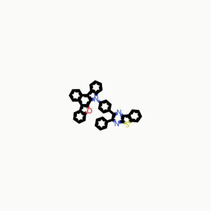 c1ccc(-c2nc3sc4ccccc4c3nc2-c2ccc(-n3c4ccccc4c4c5ccccc5c5c6ccccc6oc5c43)cc2)cc1